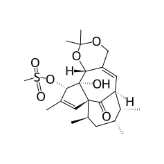 CC1=C[C@]23C(=O)[C@@H](C=C4COC(C)(C)O[C@H]4[C@]2(O)[C@H]1OS(C)(=O)=O)[C@H](C)[C@H](C)C[C@H]3C